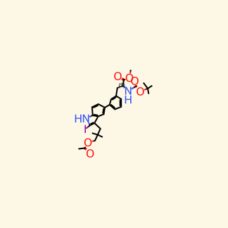 COC(=O)[C@H](Cc1cccc(-c2ccc3[nH]c(I)c(CC(C)(C)COC(C)=O)c3c2)c1)NC(=O)OC(C)(C)C